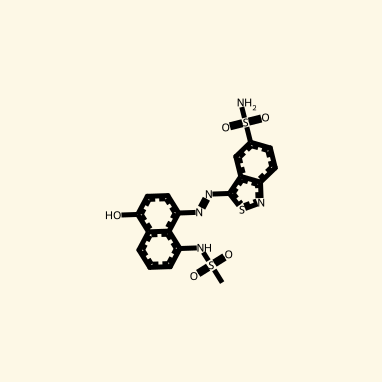 CS(=O)(=O)Nc1cccc2c(O)ccc(/N=N/c3snc4ccc(S(N)(=O)=O)cc34)c12